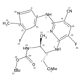 COC[C@@H](Nc1nc(Nc2cnc(C)c(F)c2)c(C#N)cc1F)[C@H](C)NC(=O)OC(C)(C)C